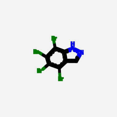 Brc1c(Br)c(Br)c2[nH]ncc2c1Br